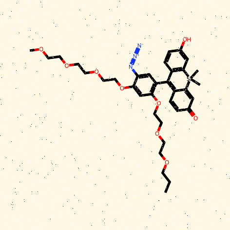 CCCOCCOCCOc1cc(OCCOCCOCCOC)c(N=[N+]=[N-])cc1C1=C2C=CC(=O)C=C2[Si](C)(C)c2cc(O)ccc21